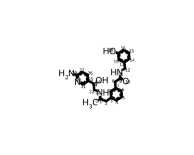 C[C@H](Cc1cccc(CC(=O)NCc2cccc(O)c2)c1)NC[C@@H](O)c1ccc(N)nc1